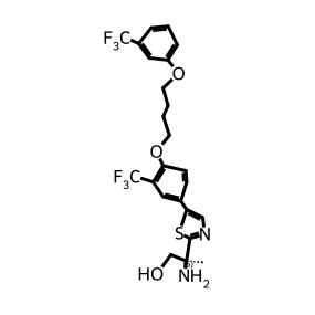 C[C@](N)(CO)c1ncc(-c2ccc(OCCCCOc3cccc(C(F)(F)F)c3)c(C(F)(F)F)c2)s1